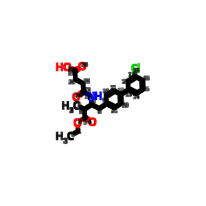 CCOC(=O)C(C)C(Cc1ccc(-c2cccc(Cl)c2)cc1)NC(=O)CCC(=O)O